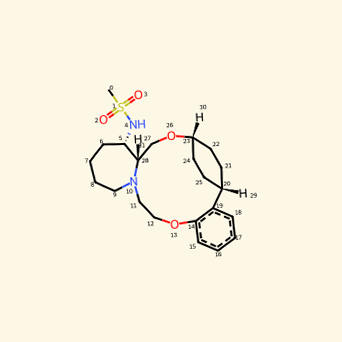 CS(=O)(=O)N[C@H]1CCCCN2CCOc3ccccc3[C@H]3CC[C@H](CC3)OC[C@@H]12